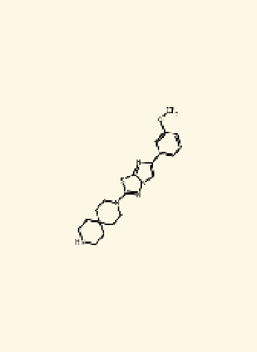 FC(F)(F)Oc1cccc(-c2cn3nc(N4CCC5(CCNCC5)CC4)sc3n2)c1